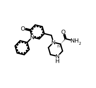 NC(=O)[C@@H]1CNCCN1Cc1ccc(=O)n(-c2ccccc2)c1